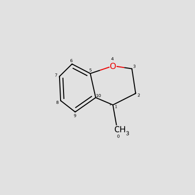 C[C]1CCOc2ccccc21